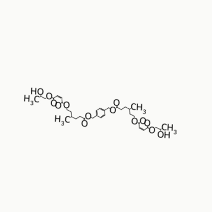 CC(O)COC(=O)/C=C\C(=O)OCCC(C)CCC(=O)OCc1ccc(COC(=O)CCC(C)CCOC(=O)/C=C\C(=O)OCC(C)O)cc1